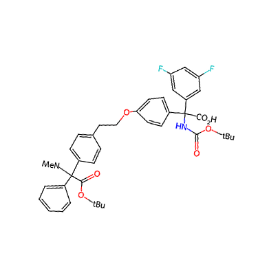 CNC(C(=O)OC(C)(C)C)(c1ccccc1)c1ccc(CCOc2ccc(C(NC(=O)OC(C)(C)C)(C(=O)O)c3cc(F)cc(F)c3)cc2)cc1